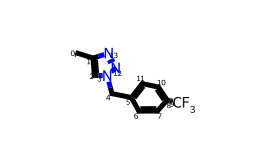 [CH2]c1cn(Cc2ccc(C(F)(F)F)cc2)nn1